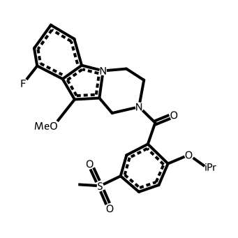 COc1c2n(c3cccc(F)c13)CCN(C(=O)c1cc(S(C)(=O)=O)ccc1OC(C)C)C2